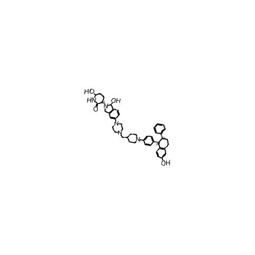 O=C1NC(O)CC[C@@H]1N1Cc2cc(N3CCN(CC4CCN(c5ccc([C@@H]6c7ccc(O)cc7CC[C@@H]6c6ccccc6)cc5)CC4)CC3)ccc2C1O